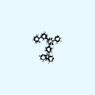 C1=Cc2c(c3ccccc3n2-c2ccc(-c3nc(-c4ccccc4)nc(-c4cccc(-c5ccccc5)c4)n3)cc2)CC1